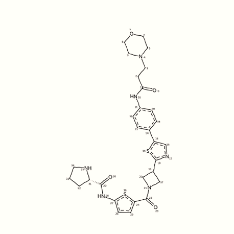 O=C(CCN1CCOCC1)Nc1ccc(-c2cnc(C3CN(C(=O)c4ccc(NC(=O)[C@@H]5CCCN5)s4)C3)s2)cc1